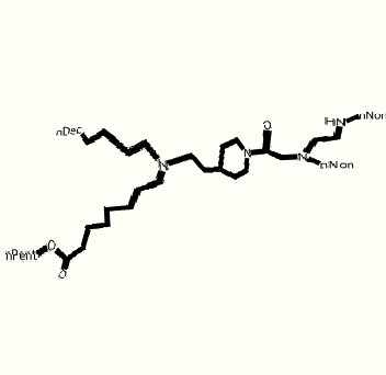 CCCCCCCCCCCCCCN(CCCCCCCC(=O)OCCCCC)CCC1CCN(C(=O)CN(CCCCCCCCC)CCNCCCCCCCCC)CC1